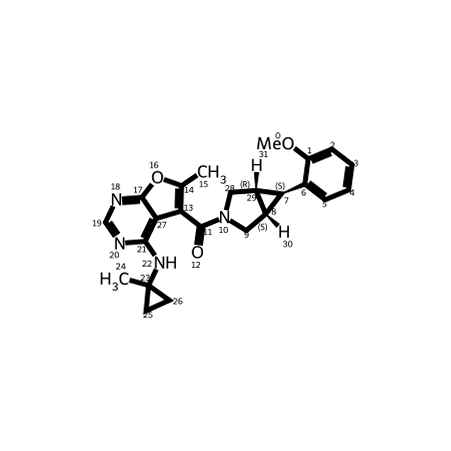 COc1ccccc1[C@H]1[C@@H]2CN(C(=O)c3c(C)oc4ncnc(NC5(C)CC5)c34)C[C@@H]21